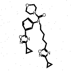 O=C(N1CCOCC1)N(CCCCCc1nc(C2CC2)no1)c1cccc(-c2nc(C3CC3)no2)c1